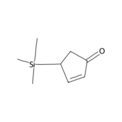 C[Si](C)(C)C1C=CC(=O)C1